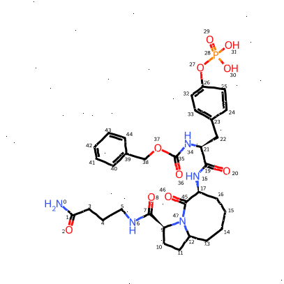 NC(=O)CCCNC(=O)[C@@H]1CCC2CCCC[C@H](NC(=O)[C@H](Cc3ccc(OP(=O)(O)O)cc3)NC(=O)OCc3ccccc3)C(=O)N21